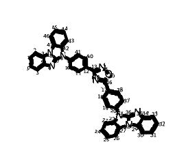 c1ccc2c(c1)nc1n(-c3ccc(-c4noc(-c5ccc(-n6c7ccccc7n7c8ccccc8nc67)cc5)n4)cc3)c3ccccc3n21